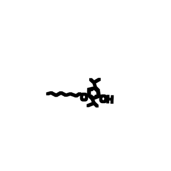 CCCCCCCCOc1cc(C(C)C)cc(O)c1C(C)C